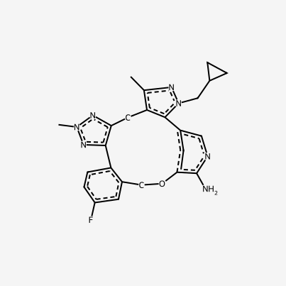 Cc1nn(CC2CC2)c2c1Cc1nn(C)nc1-c1ccc(F)cc1COc1cc-2cnc1N